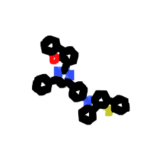 c1ccc(-c2cc(-c3ccc(-n4c5ccccc5c5c6sc7ccccc7c6ccc54)cc3)nc(-c3cccc4c3oc3ccccc34)n2)cc1